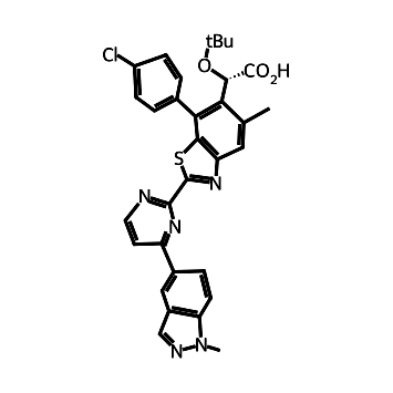 Cc1cc2nc(-c3nccc(-c4ccc5c(cnn5C)c4)n3)sc2c(-c2ccc(Cl)cc2)c1[C@H](OC(C)(C)C)C(=O)O